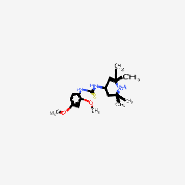 COc1ccc(NC(=S)NC2CC(C)(C)NC(C)(C)C2)c(OC)c1